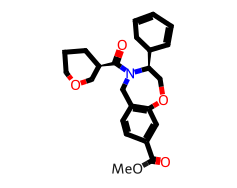 COC(=O)c1ccc2c(c1)OC[C@H](C1C=CC=CC1)N(C(=O)[C@@H]1CCCOC1)C2